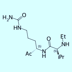 CCN[C@H](C(=O)N[C@@H](CCCNC(N)=O)C(C)=O)C(C)C